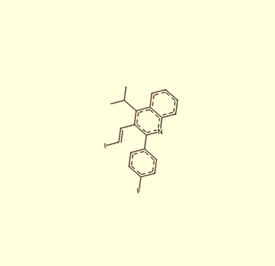 CC(C)c1c(C=CI)c(-c2ccc(F)cc2)nc2ccccc12